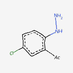 CC(=O)c1cc(Cl)ccc1NN